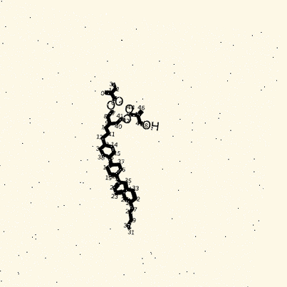 C=C(CC)C(=O)OCCC(CCCC1CCC(C2CC=C(c3ccc4cc(CCCCC)ccc4c3)CC2)CC1)CCOC(=O)C(=C)CO